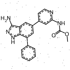 COC(=O)Nc1cc(-c2cc(-c3ccccc3)c3[nH]nc(N)c3c2)ccn1